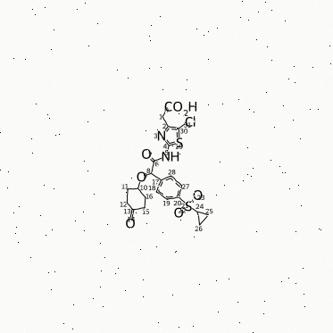 O=C(O)Cc1nc(NC(=O)C(OC2CCC(=O)CC2)c2ccc(S(=O)(=O)C3CC3)cc2)sc1Cl